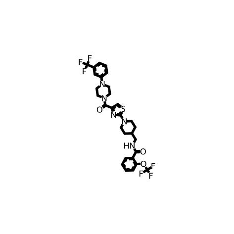 O=C(NCC1CCN(c2nc(C(=O)N3CCN(c4cccc(C(F)(F)F)c4)CC3)cs2)CC1)c1ccccc1OC(F)(F)F